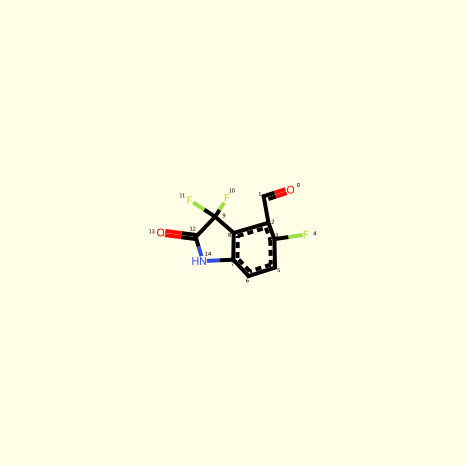 O=Cc1c(F)ccc2c1C(F)(F)C(=O)N2